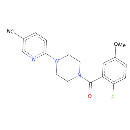 COc1ccc(F)c(C(=O)N2CCN(c3ccc(C#N)cn3)CC2)c1